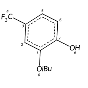 CC(C)COc1cc(C(F)(F)F)ccc1O